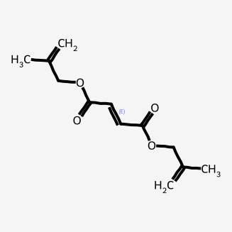 C=C(C)COC(=O)/C=C/C(=O)OCC(=C)C